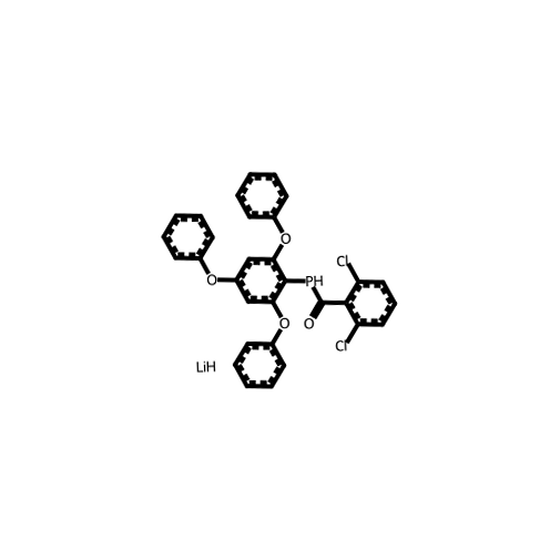 O=C(Pc1c(Oc2ccccc2)cc(Oc2ccccc2)cc1Oc1ccccc1)c1c(Cl)cccc1Cl.[LiH]